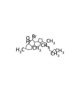 CCC(C)CCC[C@@H](C)C1CCC2C3C(Br)C(=O)[C@H]4C[C@@H](C)CC[C@]4(C)C3CC[C@@]21C